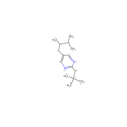 CC(C)C(C)Cc1cnc(CC(C)(C)C)nc1